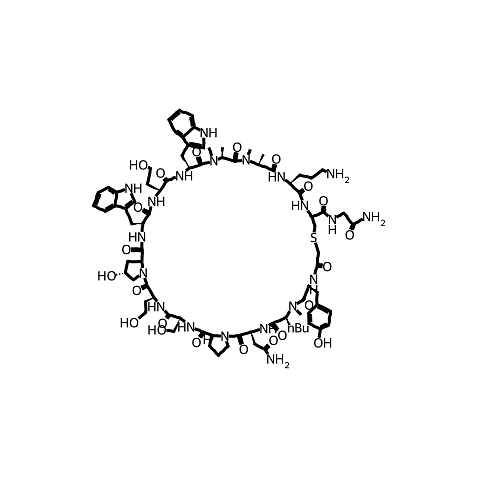 CCCC[C@H]1C(=O)N[C@@H](CC(N)=O)C(=O)N2CCC[C@H]2C(=O)N[C@@H](CO)C(=O)N[C@@H](CCO)C(=O)N2C[C@H](O)CC2C(=O)N[C@@H](Cc2c[nH]c3ccccc23)C(=O)N[C@@H](CCO)C(=O)N[C@@H](Cc2c[nH]c3ccccc23)C(=O)N(C)[C@@H](C)C(=O)N(C)[C@@H](C)C(=O)N[C@@H](CCCN)C(=O)NC(C(=O)NCC(N)=O)CSCC(=O)N[C@@H](Cc2ccc(O)cc2)C(=O)N1C